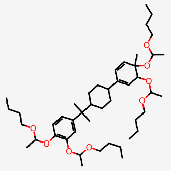 CCCCOC(C)Oc1ccc(C(C)(C)C2CCC(C3=CC(OC(C)OCCCC)C(C)(OC(C)OCCCC)C=C3)CC2)cc1OC(C)OCCCC